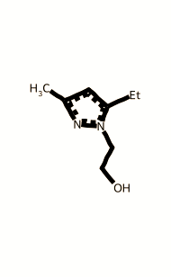 CCc1cc(C)nn1CCO